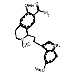 COc1ccc2[nH]cc(CCC3c4cc(C(N)=O)c(OC)cc4CCN3C=O)c2c1